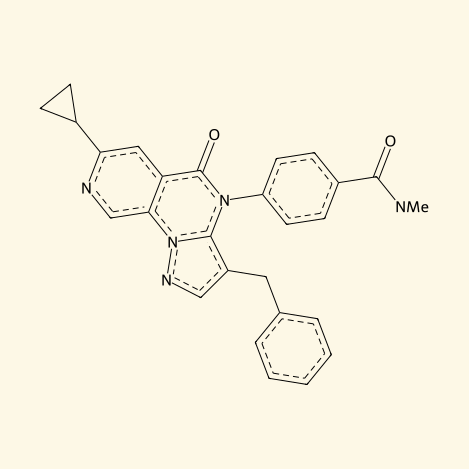 CNC(=O)c1ccc(-n2c(=O)c3cc(C4CC4)ncc3n3ncc(Cc4ccccc4)c23)cc1